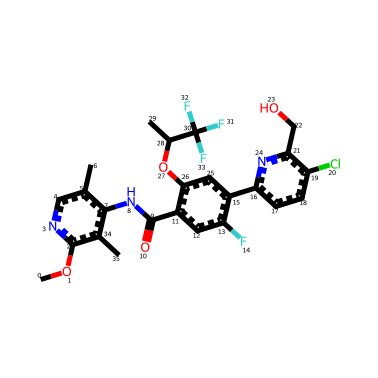 COc1ncc(C)c(NC(=O)c2cc(F)c(-c3ccc(Cl)c(CO)n3)cc2OC(C)C(F)(F)F)c1C